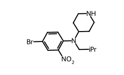 CC(C)CN(c1ccc(Br)cc1[N+](=O)[O-])C1CCNCC1